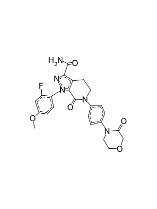 COc1ccc(-n2nc(C(N)=O)c3c2C(=O)N(c2ccc(N4CCOCC4=O)cc2)CC3)c(F)c1